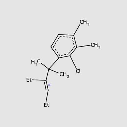 CC/C=C(\CC)C(C)(C)c1ccc(C)c(C)c1Cl